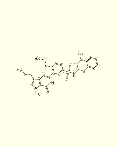 CCCc1nn(C)c2c(=O)[nH]c(-c3cc(S(=O)(=O)NC(CCO)Cc4ccccc4)ccc3OCC)nc12